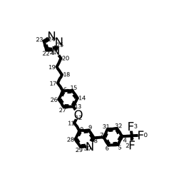 FC(F)(F)c1ccc(-c2cc(COc3ccc(CCCCn4ccnn4)cc3)ccn2)cc1